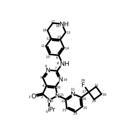 CC(C)n1c(=O)c2cnc(Nc3ccc4c(c3)CNCC4)nc2n1-c1cccc(C2(F)CCC2)n1